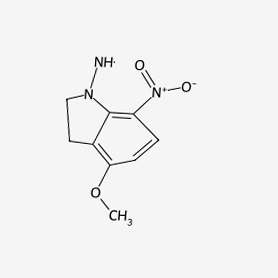 COc1ccc([N+](=O)[O-])c2c1CCN2[NH]